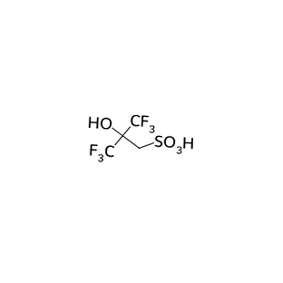 O=S(=O)(O)CC(O)(C(F)(F)F)C(F)(F)F